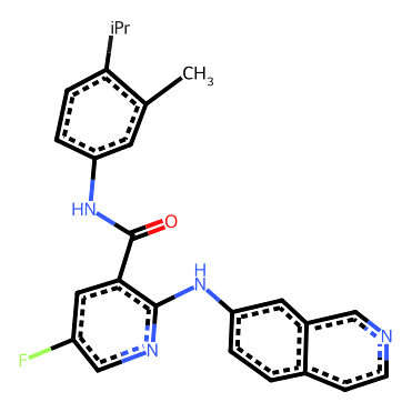 Cc1cc(NC(=O)c2cc(F)cnc2Nc2ccc3ccncc3c2)ccc1C(C)C